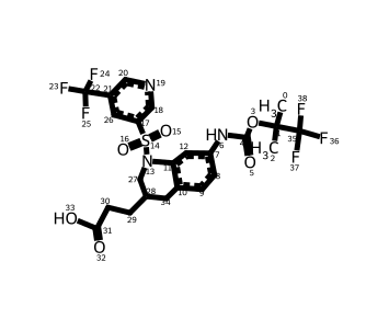 CC(C)(OC(=O)Nc1ccc2c(c1)N(S(=O)(=O)c1cncc(C(F)(F)F)c1)CC(CCC(=O)O)C2)C(F)(F)F